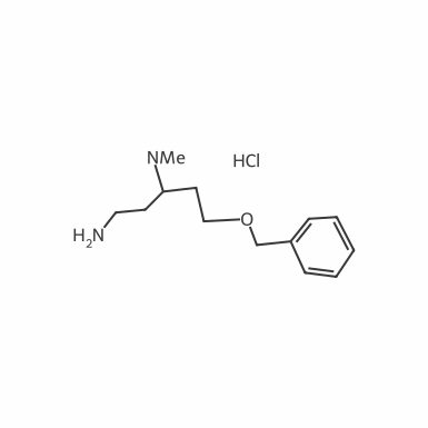 CNC(CCN)CCOCc1ccccc1.Cl